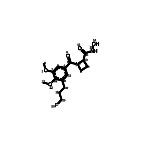 COc1cc(C(=O)N2CCC2C(=O)NO)cc(CCCF)c1OC